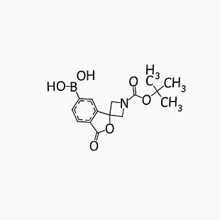 CC(C)(C)OC(=O)N1CC2(C1)OC(=O)c1ccc(B(O)O)cc12